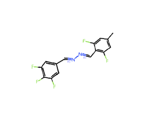 Cc1cc(F)c(/C=N/N=C/c2cc(F)c(F)c(F)c2)c(F)c1